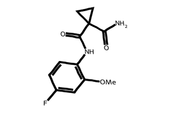 COc1cc(F)ccc1NC(=O)C1(C(N)=O)CC1